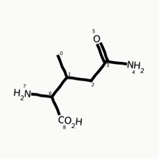 CC(CC(N)=O)C(N)C(=O)O